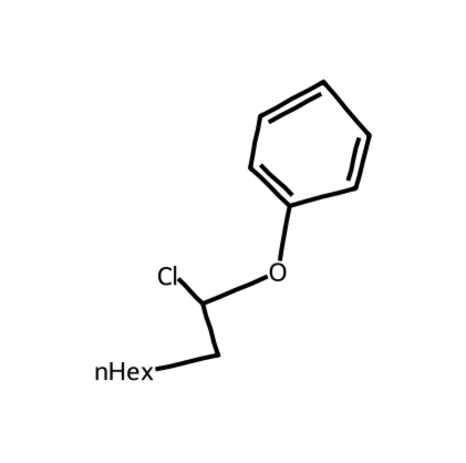 CCCCCCCC(Cl)Oc1ccccc1